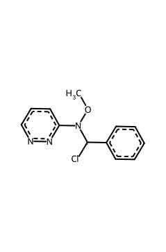 CON([C](Cl)c1ccccc1)c1cccnn1